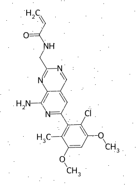 C=CC(=O)NCc1ncc2cc(-c3c(C)c(OC)cc(OC)c3Cl)nc(N)c2n1